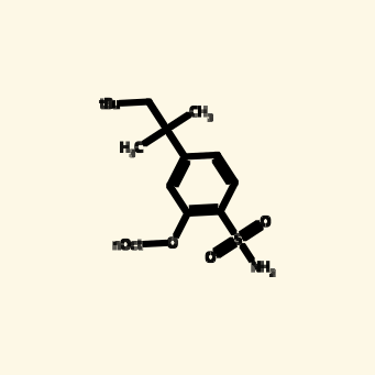 CCCCCCCCOc1cc(C(C)(C)CC(C)(C)C)ccc1S(N)(=O)=O